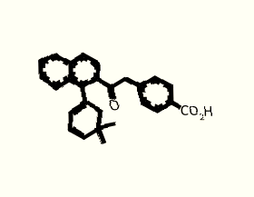 CC1(C)C=CC=C(c2c(C(=O)Cc3ccc(C(=O)O)cc3)ccc3ccccc23)C1